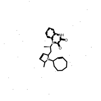 CC1C=CC(C[C@@H](C)n2c(=O)c(=O)[nH]c3ccccc32)N1C1/C=C\CCCCC1